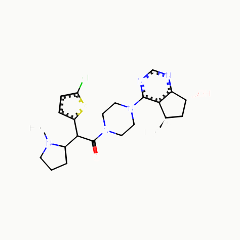 C[C@@H]1C[C@@H](O)c2ncnc(N3CCN(C(=O)C(c4ccc(Cl)s4)C4CCCN4C)CC3)c21